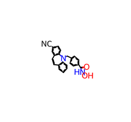 N#Cc1ccc2c(c1)C=Cc1ccccc1N2Cc1ccc(C(=O)NO)cc1